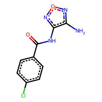 Nc1nonc1NC(=O)c1ccc(Cl)cc1